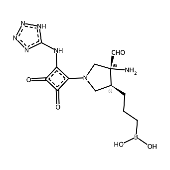 N[C@@]1(C=O)CN(c2c(Nc3nnn[nH]3)c(=O)c2=O)C[C@@H]1CCCB(O)O